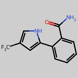 NC(=O)c1ccccc1-c1cc(C(F)(F)F)c[nH]1